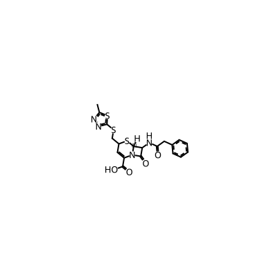 Cc1nnc(SCC2C=C(C(=O)O)N3C(=O)C(NC(=O)Cc4ccccc4)[C@H]3S2)s1